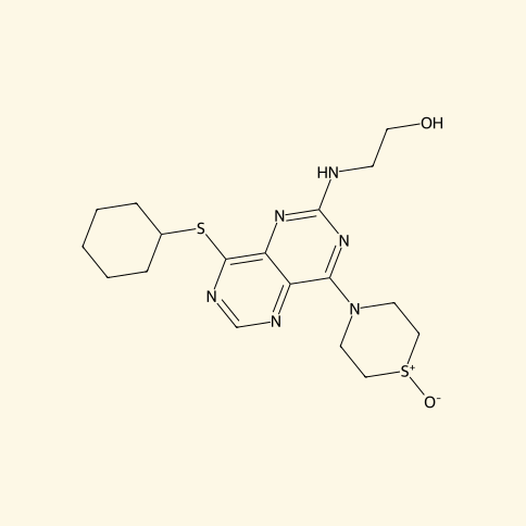 [O-][S+]1CCN(c2nc(NCCO)nc3c(SC4CCCCC4)ncnc23)CC1